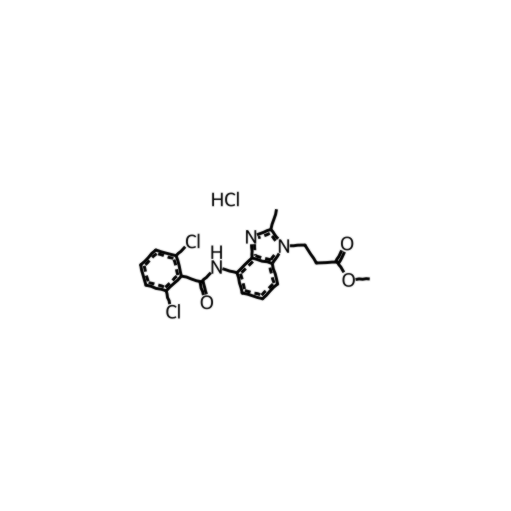 COC(=O)CCn1c(C)nc2c(NC(=O)c3c(Cl)cccc3Cl)cccc21.Cl